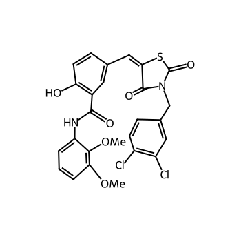 COc1cccc(NC(=O)c2cc(C=C3SC(=O)N(Cc4ccc(Cl)c(Cl)c4)C3=O)ccc2O)c1OC